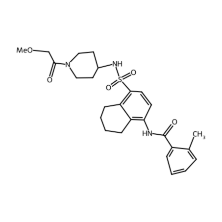 COCC(=O)N1CCC(NS(=O)(=O)c2ccc(NC(=O)c3ccccc3C)c3c2CCCC3)CC1